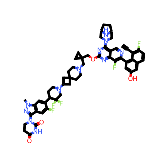 C#Cc1c(F)ccc2cc(O)cc(-c3ncc4c(N5CC6CCC(C5)N6)nc(OCC5(CN6CCC7(CC6)CC(N6CCC(c8cc9c(cc8F)c(N8CCC(=O)NC8=O)nn9C)C(F)(F)C6)C7)CC5)nc4c3F)c12